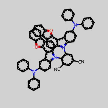 N#Cc1cc(C#N)c(-n2c3ccc(N(c4ccccc4)c4ccccc4)cc3c3c4oc5ccccc5c4ccc32)c(-n2c3ccc(N(c4ccccc4)c4ccccc4)cc3c3c4oc5ccccc5c4ccc32)c1